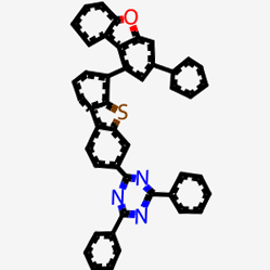 c1ccc(-c2cc(-c3cccc4c3sc3cc(-c5nc(-c6ccccc6)nc(-c6ccccc6)n5)ccc34)c3c(c2)oc2ccccc23)cc1